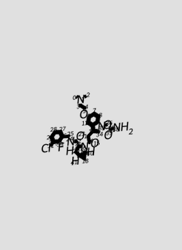 CN(C)CCOc1ccc2c(c1)c(CC(=O)N1[C@@H]3C[C@@H]3C[C@H]1C(=O)NCc1cccc(Cl)c1F)cn2OC(N)=O